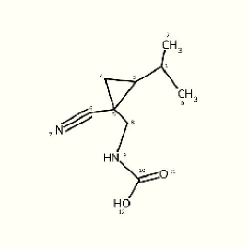 CC(C)C1CC1(C#N)CNC(=O)O